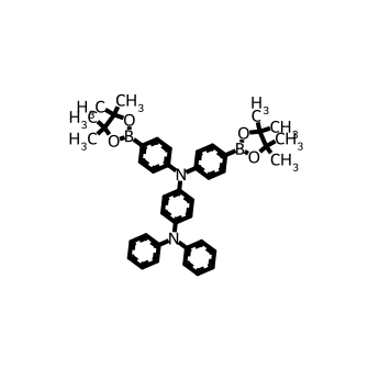 CC1(C)OB(c2ccc(N(c3ccc(B4OC(C)(C)C(C)(C)O4)cc3)c3ccc(N(c4ccccc4)c4ccccc4)cc3)cc2)OC1(C)C